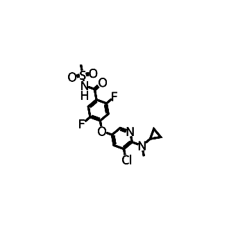 CN(c1ncc(Oc2cc(F)c(C(=O)NS(C)(=O)=O)cc2F)cc1Cl)C1CC1